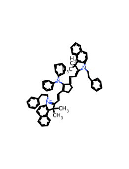 CC1(C)C(/C=C/C2=C(N(c3ccccc3)c3ccccc3)C(=C/C=C3/N(CCc4ccccc4)c4ccc5ccccc5c4C3(C)C)/CC2)=[N+](CCc2ccccc2)c2ccc3ccccc3c21